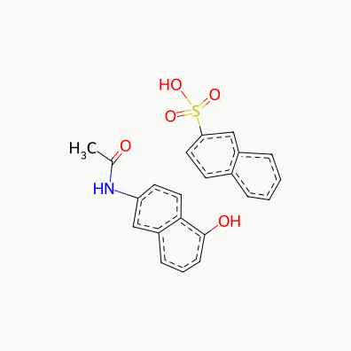 CC(=O)Nc1ccc2c(O)cccc2c1.O=S(=O)(O)c1ccc2ccccc2c1